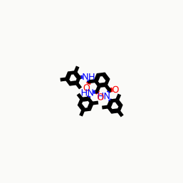 Cc1cc(C)c(NC(=O)c2cccc(C(=O)Nc3c(C)cc(C)cc3C)c2C(=O)Nc2c(C)cc(C)cc2C)c(C)c1